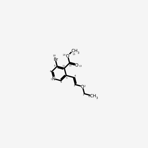 CCO/C=C/c1cncc(Br)c1C(=O)OC